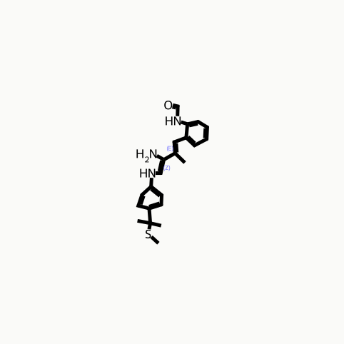 CSC(C)(C)c1ccc(N/C=C(N)/C(C)=C/c2ccccc2NC=O)cc1